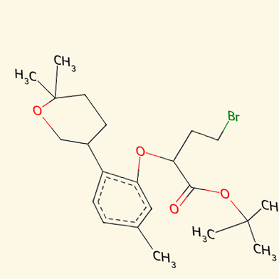 Cc1ccc(C2CCC(C)(C)OC2)c(OC(CCBr)C(=O)OC(C)(C)C)c1